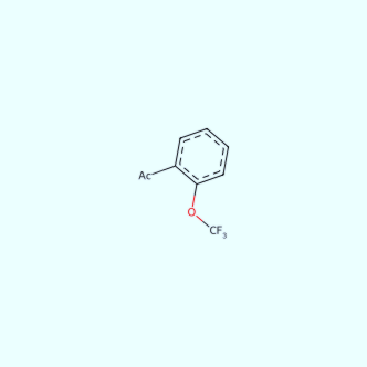 [CH2]C(=O)c1ccccc1OC(F)(F)F